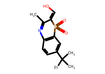 CCC(C)(C)c1ccc2c(c1)S(=O)(=O)/C(=C/O)C(C)=N2